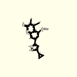 COc1cc(-c2cc(C3CC3)no2)cc2oc(=O)c(C)c(C)c12